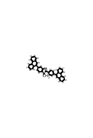 Cn1c(-c2ccc(-c3cc4ccccc4c4ccccc34)cc2)nc2cc(-c3cc4ccccc4c4ccccc34)ccc21